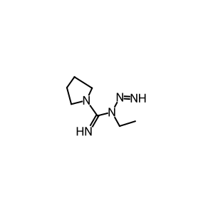 CCN(N=N)C(=N)N1CCCC1